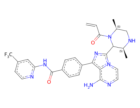 C=CC(=O)N1C(c2nc(-c3ccc(C(=O)Nc4cc(C(F)(F)F)ccn4)cc3)c3c(N)nccn23)[C@H](C)NC[C@@H]1C